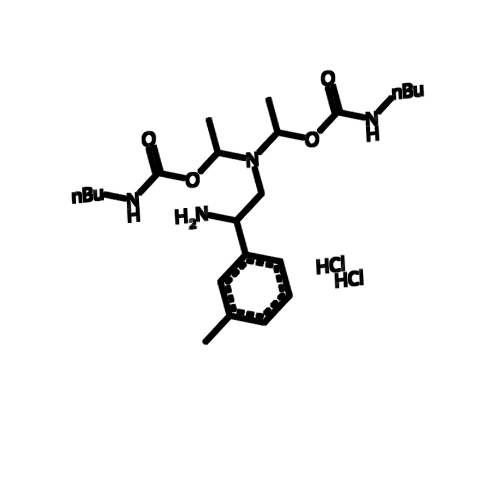 CCCCNC(=O)OC(C)N(CC(N)c1cccc(C)c1)C(C)OC(=O)NCCCC.Cl.Cl